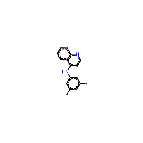 Cc1cc(C)cc(Nc2ccnc3ccccc23)c1